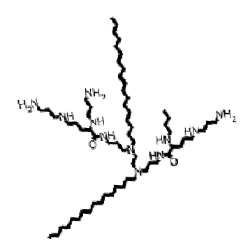 CCCCCCCC/C=C/CCCCCCCCN(CCCNC(=O)C(CCCNCCCN)NCCCC)CCN(CCCCCCCC/C=C/CCCCCCCC)CCCNC(=O)C(CCCNCCCN)NCCCN